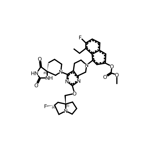 CCc1c(F)ccc2cc(OC(=O)OC)cc(N3CCc4c(nc(OC[C@@]56CCCN5C[C@H](F)C6)nc4N4CCC[C@]5(C4)NC(=O)NC5=O)C3)c12